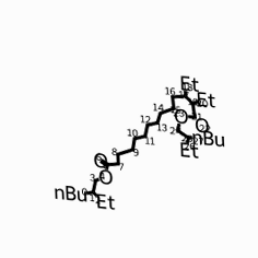 CCCCC(CC)COC(=O)CCCCCCCCCCC(CC)C(CC)C(=O)OCC(CC)CCCC